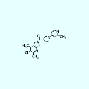 Cc1cc(N2CCC(C(=O)N3Cc4nc(C)c(Cl)c(C)c4C3)C2)ccn1